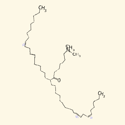 CCCCC/C=C\C/C=C\CCCCCCCCC(CCCCCCCC/C=C\CCCCCCCC)C(=O)CCCCCN(C)C